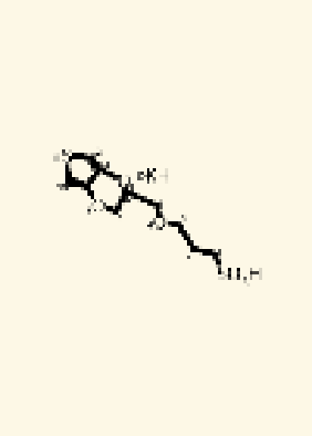 O=S(=O)(O)CCCOCC1COc2cscc2O1.[KH]